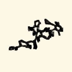 CCSc1ccc(CNc2nc3cnc(-c4c(C)ncnc4C4CC4)nc3n([C@H]3CCC[C@H]3C#N)c2=O)nc1